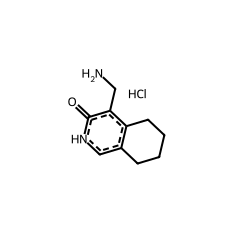 Cl.NCc1c2c(c[nH]c1=O)CCCC2